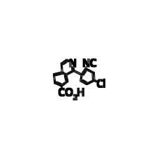 [C-]#[N+]c1cc(Cl)ccc1-c1nccc2ccc(C(=O)O)cc12